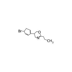 CCCC1=NCC(C2=CCC(Br)C=C2)CO1